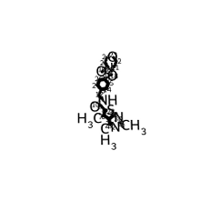 Cc1nc(C)c2c(C)c(C(=O)NCc3ccc(S(=O)(=O)N4CCOCC4)cc3)sc2n1